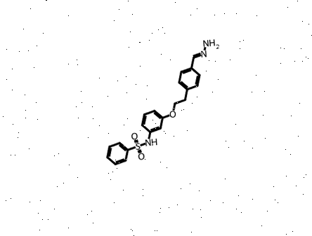 NN=Cc1ccc(CCOc2cccc(NS(=O)(=O)c3ccccc3)c2)cc1